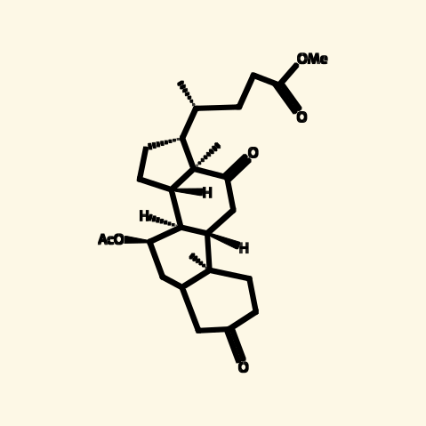 COC(=O)CC[C@@H](C)[C@H]1CC[C@H]2[C@@H]3[C@H](OC(C)=O)CC4CC(=O)CC[C@]4(C)[C@H]3CC(=O)[C@]12C